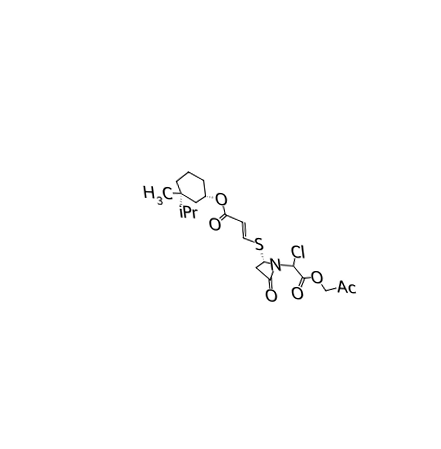 CC(=O)COC(=O)C(Cl)N1C(=O)C[C@@H]1SC=CC(=O)O[C@H]1CCC[C@@](C)(C(C)C)C1